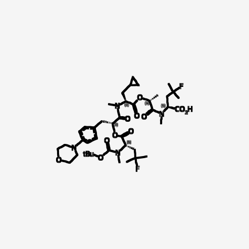 C[C@@H](OC(=O)[C@H](CC1CC1)N(C)C(=O)[C@@H](Cc1ccc(N2CCOCC2)cc1)OC(=O)[C@H](CC(C)(C)F)N(C)C(=O)OC(C)(C)C)C(=O)N(C)[C@@H](CC(C)(C)F)C(=O)O